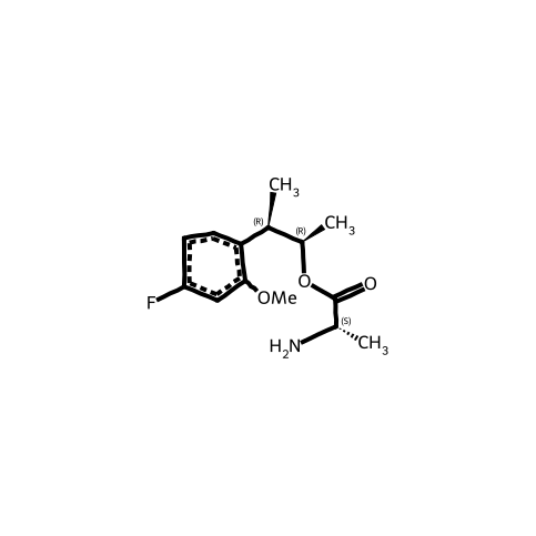 COc1cc(F)ccc1[C@@H](C)[C@@H](C)OC(=O)[C@H](C)N